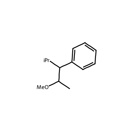 COC(C)C(c1ccccc1)C(C)C